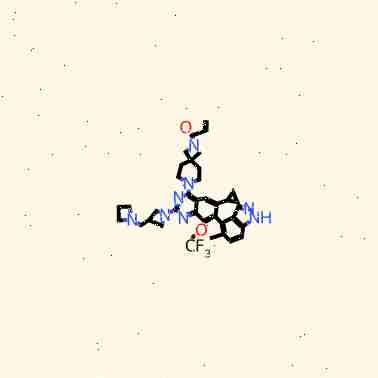 C=CC(=O)N1CC2(CCN(c3nc(N4CC(CN5CCC5)C4)nc4c(OCC(F)(F)F)c(-c5c(C)ccc6[nH]ncc56)c(C5CC5)cc34)CC2)C1